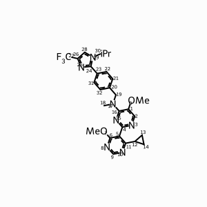 COc1cnc(-c2c(OC)ncnc2C2CC2)nc1N(C)Cc1ccc(-c2nc(C(F)(F)F)cn2C(C)C)cc1